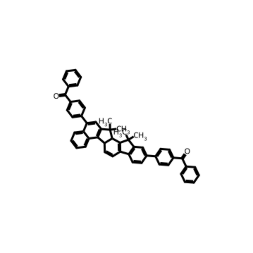 CC1(C)C2=C(C=CC3c4c(cc(-c5ccc(C(=O)c6ccccc6)cc5)c5ccccc45)C(C)(C)C23)c2ccc(-c3ccc(C(=O)c4ccccc4)cc3)cc21